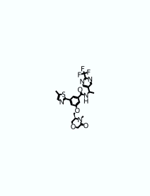 Cc1cnc(-c2cc(OC[C@@H]3COCC(=O)N3C)cc(C(=O)NC(C)c3cnc(C(F)(F)F)nc3)c2)s1